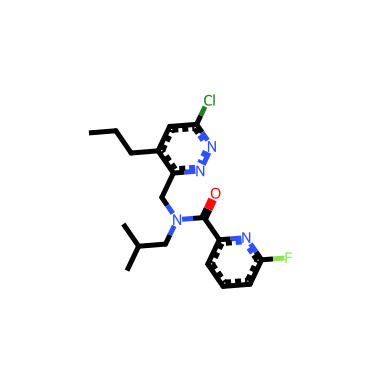 CCCc1cc(Cl)nnc1CN(CC(C)C)C(=O)c1cccc(F)n1